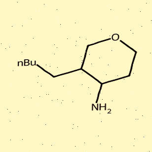 CCCCCC1COCCC1N